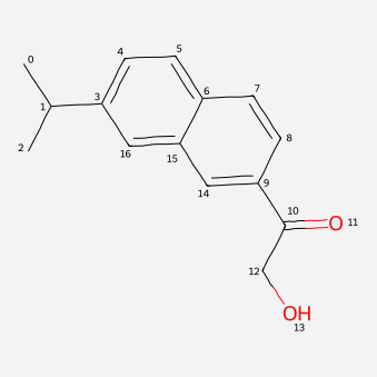 CC(C)c1ccc2ccc(C(=O)CO)cc2c1